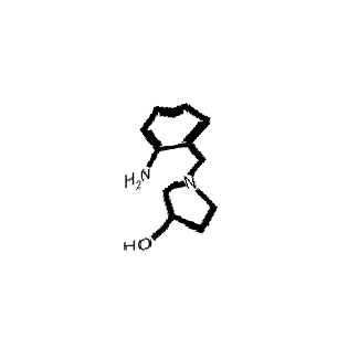 Nc1ccccc1CN1CCC(O)C1